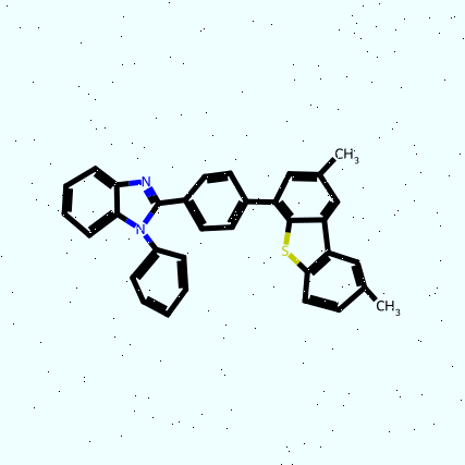 Cc1ccc2sc3c(-c4ccc(-c5nc6ccccc6n5-c5ccccc5)cc4)cc(C)cc3c2c1